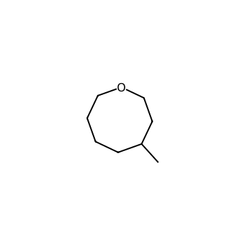 CC1CCCCOCC1